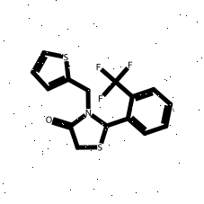 O=C1CSC(c2ccccc2C(F)(F)F)N1Cc1cccs1